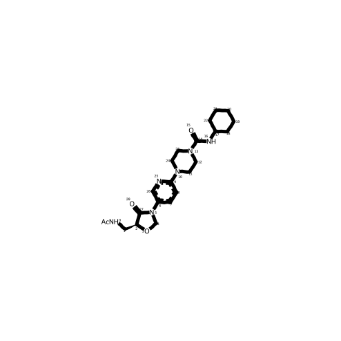 CC(=O)NC[C@@H]1OCN(c2ccc(N3CCN(C(=O)NC4CCCCC4)CC3)nc2)C1=O